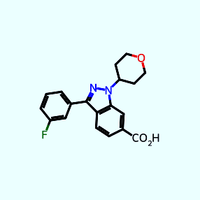 O=C(O)c1ccc2c(-c3cccc(F)c3)nn(C3CCOCC3)c2c1